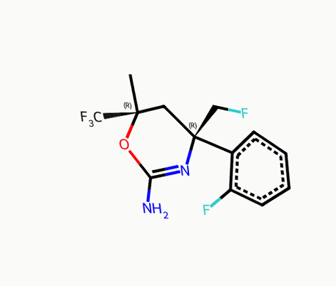 C[C@]1(C(F)(F)F)C[C@](CF)(c2ccccc2F)N=C(N)O1